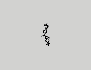 Cc1ccc(N2CCN(C(=O)C3=NOC4(CCC(C(C)(C)C)CC4)C3)CC2)nn1